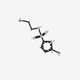 O=S(=O)(OCCBr)c1ccc(Br)s1